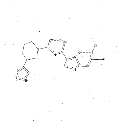 Fc1cc2ncc(-c3nccc(N4CCCC(c5c[nH]cn5)C4)n3)n2cc1Cl